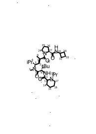 C/C(=C\[C@H](C(C)C)N(C)C(=O)[C@@H](NC(=O)C1CCCCN1C(C)C)C(C)(C)C)C(=O)N1CCC[C@H]1C(=O)NC1CCC1